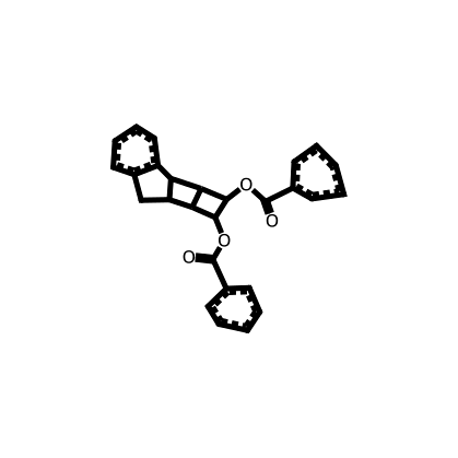 O=C(OC1C(OC(=O)c2ccccc2)C2C3c4ccccc4CC3C12)c1ccccc1